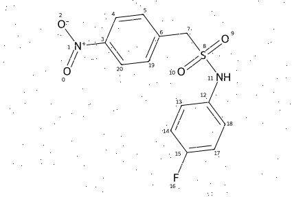 O=[N+]([O-])c1ccc(CS(=O)(=O)Nc2ccc(F)cc2)cc1